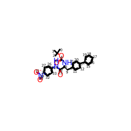 CC(C)(C)OC(=O)N[C@@H](Cc1ccc(-c2ccccc2)cc1)C(=O)Nc1ccc([N+](=O)[O-])cc1